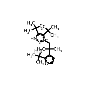 CC(C)(C)c1[nH]n[n+](CC(C)(C)c2ccoc2C(C)(C)C)c1C(C)(C)C